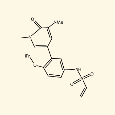 C=CS(=O)(=O)Nc1ccc(OC(C)C)c(-c2cc(NC)c(=O)n(C)c2)c1